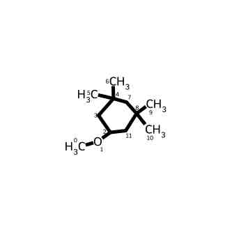 COC1CC(C)(C)CC(C)(C)C1